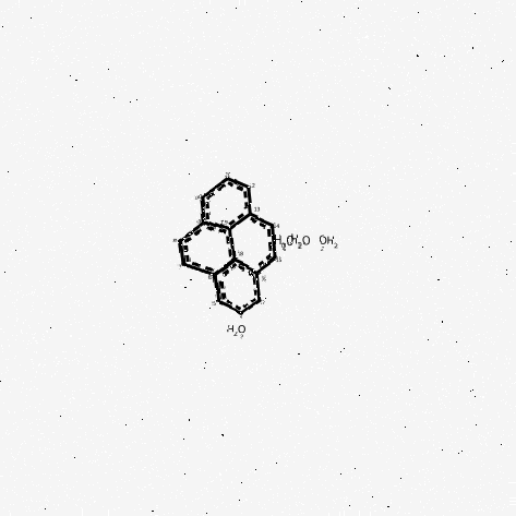 O.O.O.O.c1cc2ccc3cccc4ccc(c1)c2c34